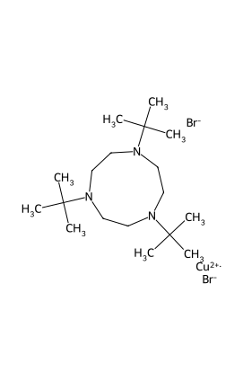 CC(C)(C)N1CCN(C(C)(C)C)CCN(C(C)(C)C)CC1.[Br-].[Br-].[Cu+2]